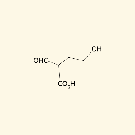 O=CC(CCO)C(=O)O